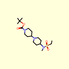 CCS(=O)(=O)N(C)C1CCN(C2CCN(C(=O)OC(C)(C)C)CC2)CC1